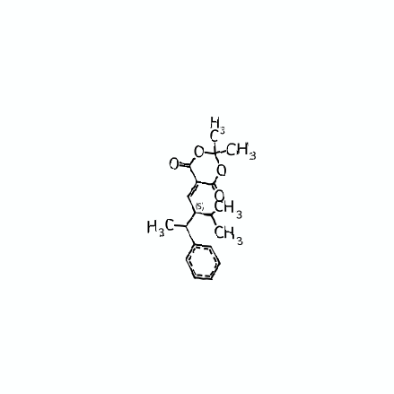 CC(C)[C@H](C=C1C(=O)OC(C)(C)OC1=O)C(C)c1ccccc1